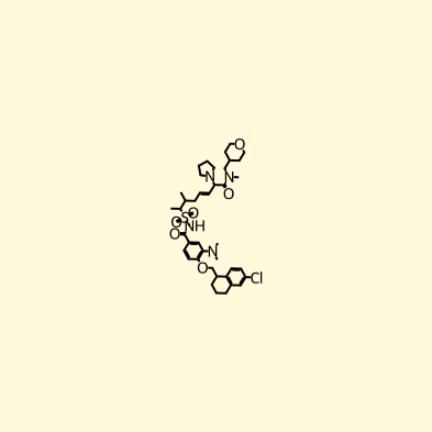 CC(C/C=C/C(C(=O)N(C)CC1CCOCC1)N1CCCC1)C(C)S(=O)(=O)NC(=O)c1ccc(OCC2CCCc3cc(Cl)ccc32)c(N(C)C)c1